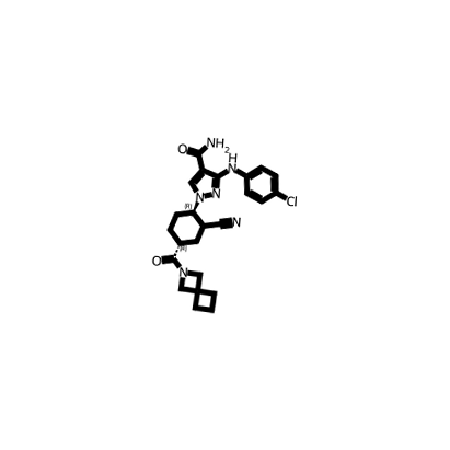 N#CC1C[C@H](C(=O)N2CC3(CCC3)C2)CC[C@H]1n1cc(C(N)=O)c(Nc2ccc(Cl)cc2)n1